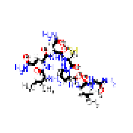 CC[C@H](C)[C@H](N)C(=O)N[C@@H](CCC(N)=O)C(=O)N[C@@H](CC(N)=O)C(=O)N[C@@H](CS)C(=O)N1CCC[C@H]1C(=O)N[C@@H](CC(C)C)C(=O)NCC(N)=O